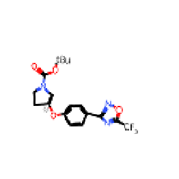 CC(C)(C)OC(=O)N1CC[C@H](Oc2ccc(-c3noc(C(F)(F)F)n3)cc2)C1